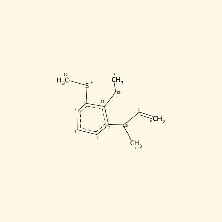 C=C[C](C)c1cccc(SC)c1CC